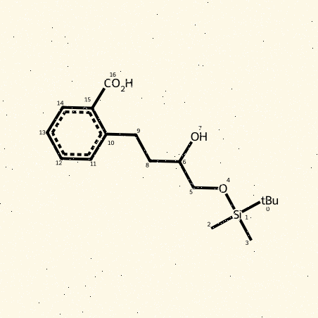 CC(C)(C)[Si](C)(C)OCC(O)CCc1ccccc1C(=O)O